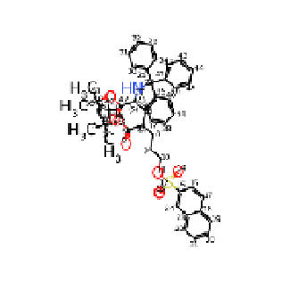 CC(C)(C)OC(=O)[C@H](CCCOS(=O)(=O)c1ccc2ccccc2c1)C[C@H](NC(c1ccccc1)(c1ccccc1)c1ccccc1)C(=O)OC(C)(C)C